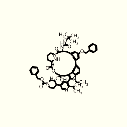 CCn1c(-c2cc(C3CCN(C(=O)OCc4ccccc4)CC3)cnc2C(C)C)c2c3cc(ccc31)-c1cc(cc(OCc3ccccc3)c1)C[C@H](NC(=O)OC(C)(C)C)C(=O)N1CCC[C@H](N1)C(=O)OCC(C)(C)C2